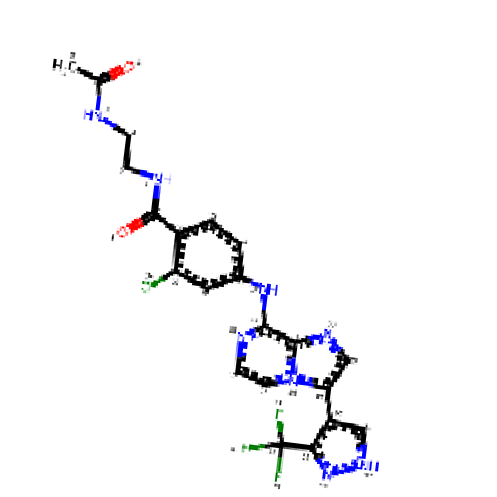 CC(=O)NCCNC(=O)c1ccc(Nc2nccn3c(-c4c[nH]nc4C(F)(F)F)cnc23)cc1Cl